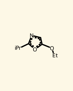 CCOc1cnc(C(C)C)o1